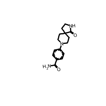 NC(=O)c1ccc(N2CCC3(CCNC3=O)CC2)cc1